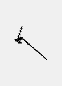 C#CC#CC#CC#CC#CC#CC#CC#CC#CC#CC#CC#CC#CC#CC#CC#COc1ccc([Si]2(CCCCCCCCCCCCCCCC)c3ccccc3-c3ccc(C=O)cc32)cc1C